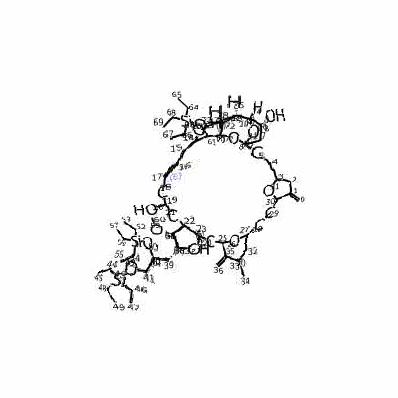 C=C1CC2CC[C@]34C[C@@H](O)[C@H](O3)[C@@H]3OC(C/C=C/CC(O)CC5[C@H](CC6OC(CCC1O2)C[C@@H](C)C6=C)O[C@H](C[C@@H](CO[Si](CC)(CC)CC)O[Si](CC)(CC)CC)[C@@H]5OC)C(O[Si](CC)(CC)CC)[C@H](O4)[C@@H]3C